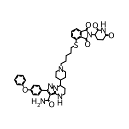 NC(=O)c1c(-c2ccc(Oc3ccccc3)cc2)nn2c1NCCC2C1CCN(CCCCCSc2cccc3c2C(=O)N(C2CCC(=O)NC2=O)C3=O)CC1